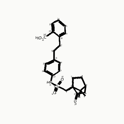 CC1(C)C2CCC1(CS(=O)(=O)Nc1ccc(CCc3ccccc3C(=O)O)cc1)C(=O)C2